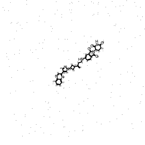 C=C(CCNc1ccc2c(c1)C(=O)N(C1CCC(=O)NC1=O)C2=O)C1CC(n2cc(-c3cnc4ccccc4n3)cn2)C1